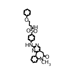 CN1C(=O)Cc2cnc(Nc3ccc(S(=O)(=O)NCCOc4ccccc4)cc3)nc2-c2ccccc21